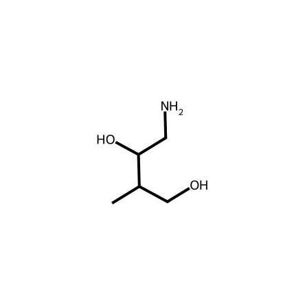 CC(CO)C(O)CN